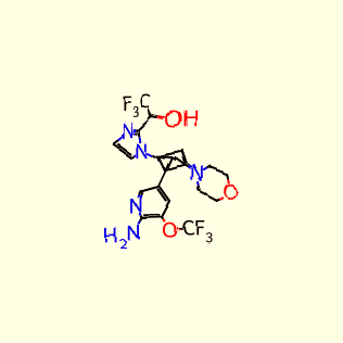 Nc1ncc(C2C3(N4CCOCC4)CC2(n2ccnc2C(O)C(F)(F)F)C3)cc1OC(F)(F)F